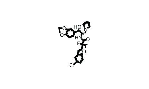 O=C(N[C@H](CN1C=C=C=C1)[C@H](O)c1ccc2c(c1)OCCO2)C(F)(F)c1cc2cc(Cl)ccc2o1